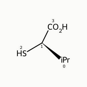 CC(C)[C@@H](S)C(=O)O